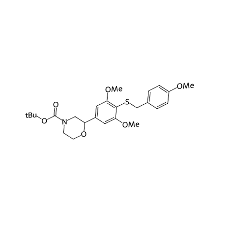 COc1ccc(CSc2c(OC)cc(C3CN(C(=O)OC(C)(C)C)CCO3)cc2OC)cc1